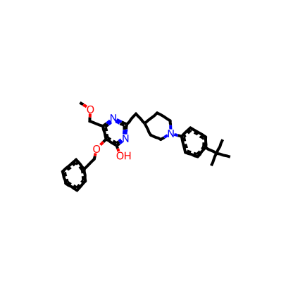 COCc1nc(CC2CCN(c3ccc(C(C)(C)C)cc3)CC2)nc(O)c1OCc1ccccc1